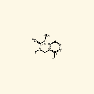 CN(Cc1nccnc1Cl)C(=O)OC(C)(C)C